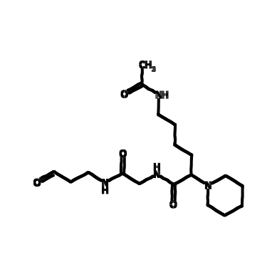 CC(=O)NCCCCC(C(=O)NCC(=O)NCCC=O)N1CCCCC1